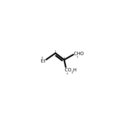 CCC=C(C=O)C(=O)O